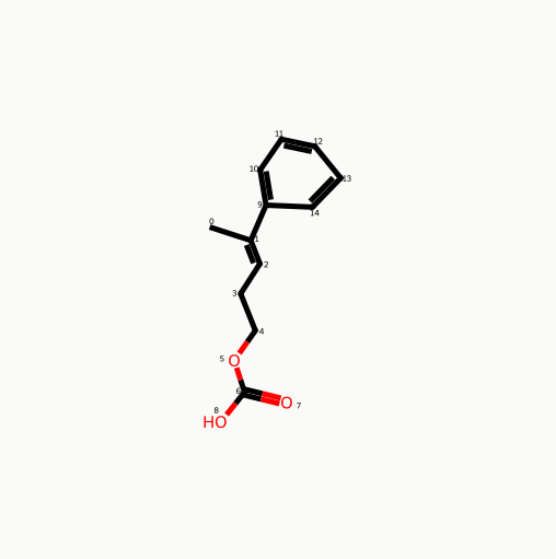 CC(=CCCOC(=O)O)c1ccccc1